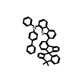 CC1(C)c2ccccc2C2(c3ccccc3-c3c(-c4cccc5c4sc4c(N(c6ccccc6)c6ccc(-c7ccccc7)cc6)cccc45)cccc32)c2ccccc21